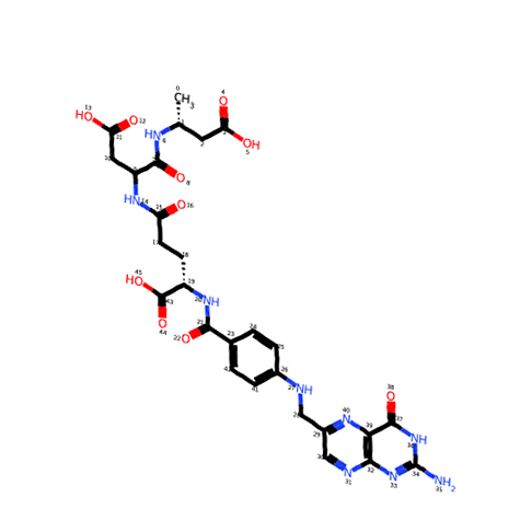 C[C@H](CC(=O)O)NC(=O)C(CC(=O)O)NC(=O)CC[C@H](NC(=O)c1ccc(NCc2cnc3nc(N)[nH]c(=O)c3n2)cc1)C(=O)O